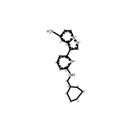 Nc1ccn2ncc(-c3cccc(NCC4CCCCC4)n3)c2c1